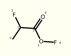 CC(F)C(=O)OF